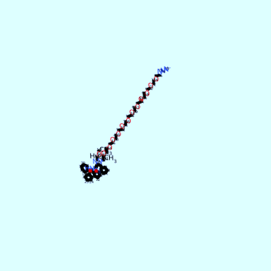 CCOCc1nc2c(NC(c3ccccc3)(c3ccccc3)c3ccccc3)nc3ccccc3c2n1CC(C)(C)OCCOCCOCCOCCOCCOCCOCCOCCOCCOCCOCCOCCN=[N+]=[N-]